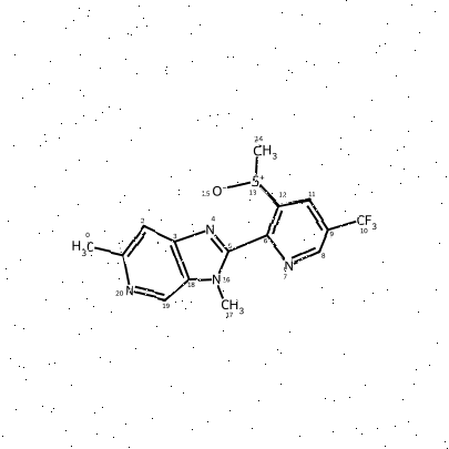 Cc1cc2nc(-c3ncc(C(F)(F)F)cc3[S+](C)[O-])n(C)c2cn1